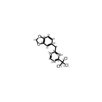 ClC(Cl)(Cl)c1ncnc(Cc2ccc3c(c2)OCO3)n1